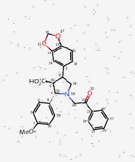 COc1ccc([C@@H]2[C@@H](C(=O)O)C(c3ccc4c(c3)OCO4)CN2CC(=O)c2ccccc2)cc1